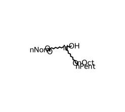 CCCCCCCCCOC(=O)CCCCCCCN(CCO)CCCCCCCCOC(CCCCC)CCCCCCCC